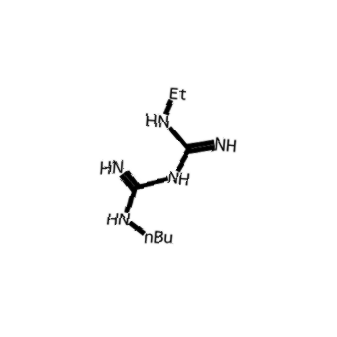 CCCCNC(=N)NC(=N)NCC